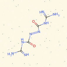 N=C(N)NC(=O)N=NC(=O)NC(=N)N